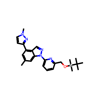 Cc1cc(-c2ccn(C)n2)c2cnn(-c3cccc(CO[Si](C)(C)C(C)(C)C)n3)c2c1